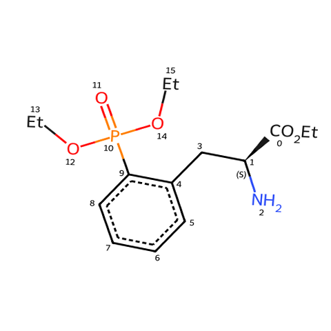 CCOC(=O)[C@@H](N)Cc1ccccc1P(=O)(OCC)OCC